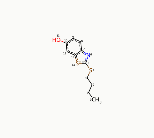 CCCCSc1nc2ccc(O)cc2s1